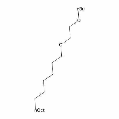 CCCCCCCCCCCCC[CH]OCCOCCCC